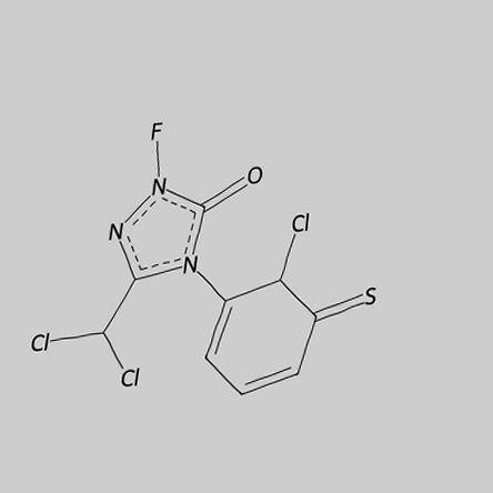 O=c1n(F)nc(C(Cl)Cl)n1C1=CC=CC(=S)C1Cl